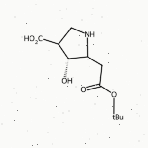 CC(C)(C)OC(=O)CC1NCC(C(=O)O)[C@H]1O